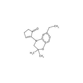 CCc1ccc2c(c1)N(C1=CCCC1=O)CC(C)(C)O2